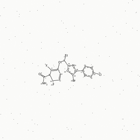 CCC(OC1=C(F)C(C(N)=O)C(F)C=C1)c1nc(-c2ccc(Cl)cc2)c(Br)o1